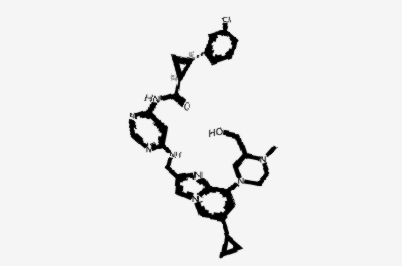 CN1CCN(c2cc(C3CC3)cn3cc(CNc4cc(NC(=O)[C@H]5C[C@@H]5c5cccc(Cl)c5)ncn4)nc23)CC1CO